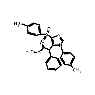 COC(=O)C(c1ccccc1)c1c(S(=O)(=O)c2ccc(C)cc2)ncn1-c1ccc(C)cc1